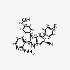 N#Cc1cc2nc(-c3cccnc3N)n(-c3ccc(CO)cc3)c2nc1-c1ccc(F)cc1